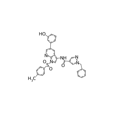 Cc1ccc(S(=O)(=O)n2cc(NC(=O)c3cnn(Cc4ccccc4)c3)c3cc(-c4cccc(O)c4)cnc32)cc1